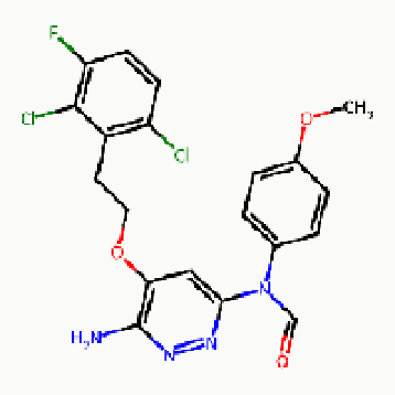 COc1ccc(N(C=O)c2cc(OCCc3c(Cl)ccc(F)c3Cl)c(N)nn2)cc1